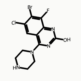 Oc1nc(N2CCNCC2)c2cc(Cl)c(Br)c(F)c2n1